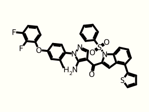 Cc1cc(Oc2cccc(F)c2F)ccc1-n1ncc(C(=O)c2cc3c(-c4cccs4)cccc3n2S(=O)(=O)c2ccccc2)c1N